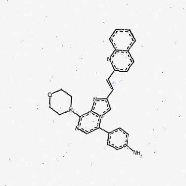 Nc1ccc(-c2cnc(N3CCOCC3)c3nc(/C=C/c4ccc5ccccc5n4)cn23)cc1